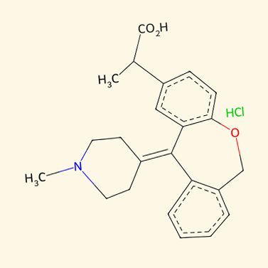 CC(C(=O)O)c1ccc2c(c1)C(=C1CCN(C)CC1)c1ccccc1CO2.Cl